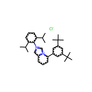 CC(C)c1cccc(C(C)C)c1-[n+]1cc2cccc(-c3cc(C(C)(C)C)cc(C(C)(C)C)c3)n2c1.[Cl-]